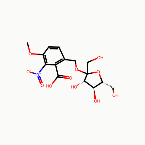 COc1ccc(COC2(CO)O[C@H](CO)[C@@H](O)[C@@H]2O)c(C(=O)O)c1[N+](=O)[O-]